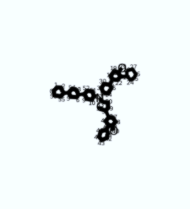 c1ccc(-c2ccc(-c3ccc(N(c4ccc(-c5ccc6c(c5)C5CCCCC5O6)cc4)c4ccc(-c5ccc6oc7ccccc7c6c5)cc4)cc3)cc2)cc1